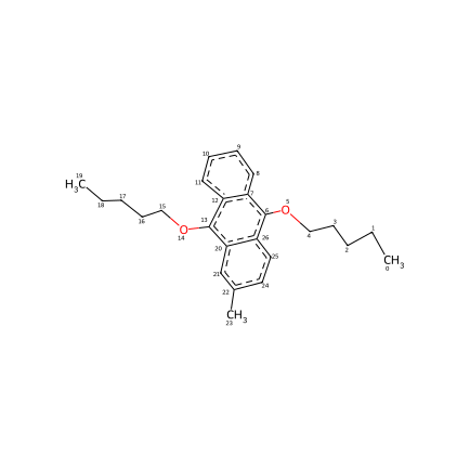 CCCCCOc1c2ccccc2c(OCCCCC)c2cc(C)ccc12